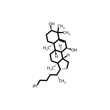 CC(C)CCC[C@@H](C)[C@H]1CC[C@H]2[C@@H]3[C@H](O)C=C4C(C)(C)[C@H](O)CC[C@]4(C)[C@H]3CC[C@]12C